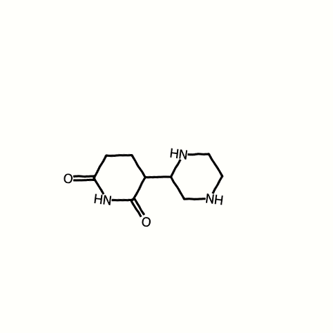 O=C1CCC(C2CNCCN2)C(=O)N1